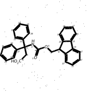 O=C(O)CC(NC(=O)OCC1c2ccccc2-c2ccccc21)(c1ccccc1)c1ccccc1